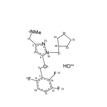 CNCc1cc(OCc2c(F)ccc(F)c2F)n(CC2CCCC2)n1.Cl